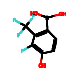 OB(O)c1ccc(O)c(F)c1C(F)(F)F